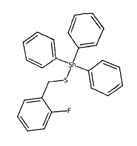 Fc1ccccc1C[S][Sn]([c]1ccccc1)([c]1ccccc1)[c]1ccccc1